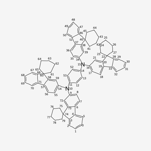 c1ccc2c(c1)-c1ccc(N(c3ccc(N(c4ccc5c(c4)C4(CCCCC4)c4ccccc4-5)c4ccc5c(c4)C4(CCCCC4)c4ccccc4-5)cc3)c3ccc4c(c3)C3(CCCCC3)c3ccccc3-4)cc1C21CCCCC1